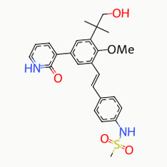 COc1c(C=Cc2ccc(NS(C)(=O)=O)cc2)cc(-c2ccc[nH]c2=O)cc1C(C)(C)CO